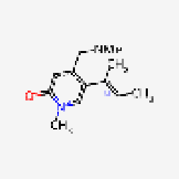 C/C=C(\C)c1cn(C)c(=O)cc1CNC